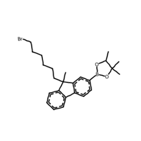 CC1OB(c2ccc3c(c2)C(C)(CCCCCCBr)c2ccccc2-3)OC1(C)C